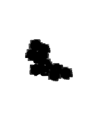 CC1C(c2ccccc2)=NC(c2cc3ccccc3c3c2oc2cccc(-c4ccccc4)c23)=C=C2C(c3ccc(-c4ccccc4)c4ccccc34)C21